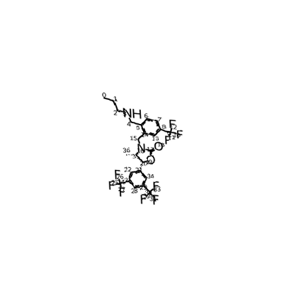 CCCNCc1ccc(C(F)(F)F)cc1CN1C(=O)O[C@H](c2cc(C(F)(F)F)cc(C(F)(F)F)c2)[C@@H]1C